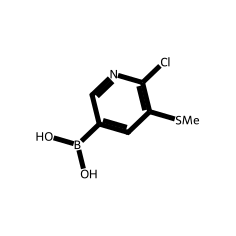 CSc1cc(B(O)O)cnc1Cl